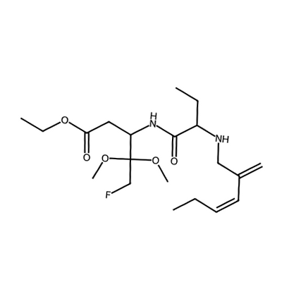 C=C(/C=C\CC)CNC(CC)C(=O)NC(CC(=O)OCC)C(CF)(OC)OC